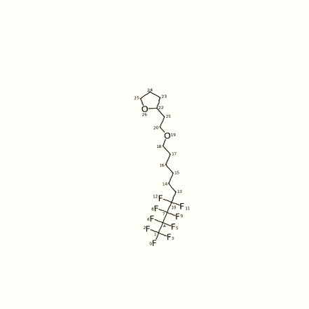 FC(F)(F)C(F)(F)C(F)(F)C(F)(F)CCCCCCOCCC1CCCO1